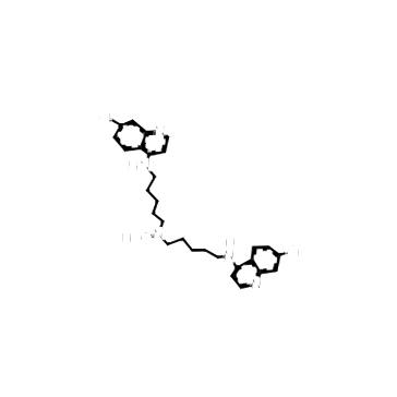 CN(CCCCCNc1ccnc2cc(Cl)ccc12)CCCCCNc1ccnc2cc(Cl)ccc12